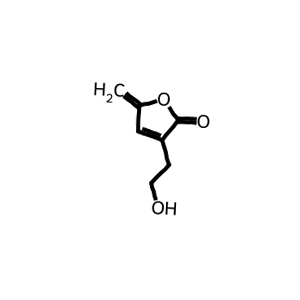 C=C1C=C(CCO)C(=O)O1